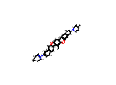 Cc1c2oc3cc4cc(N5CCC(C)CC5)ccc4cc3c2cc2oc3cc4cc(N5CCC(C)CC5)ccc4cc3c12